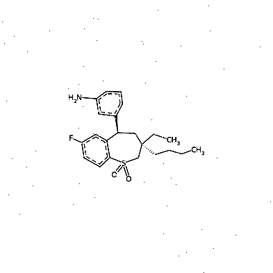 CCCC[C@@]1(CC)C[C@H](c2cccc(N)c2)c2cc(F)ccc2S(=O)(=O)C1